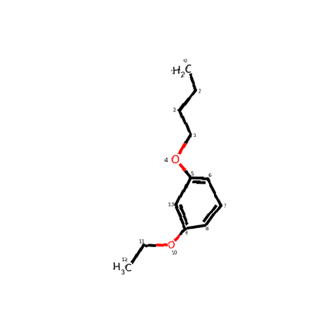 [CH2]CCCOc1cccc(OCC)c1